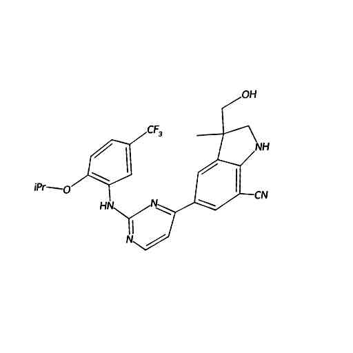 CC(C)Oc1ccc(C(F)(F)F)cc1Nc1nccc(-c2cc(C#N)c3c(c2)C(C)(CO)CN3)n1